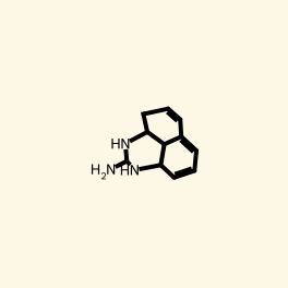 NC1NC2C=CC=C3C=CCC(N1)C32